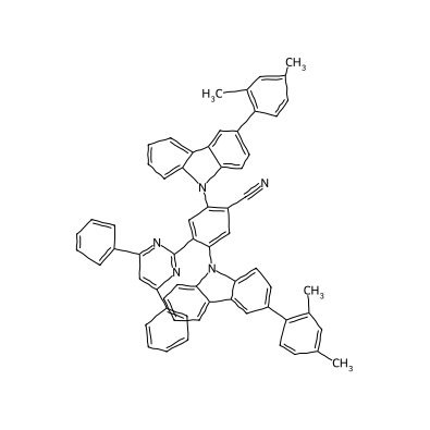 Cc1ccc(-c2ccc3c(c2)c2ccccc2n3-c2cc(-c3nc(-c4ccccc4)cc(-c4ccccc4)n3)c(-n3c4ccccc4c4cc(-c5ccc(C)cc5C)ccc43)cc2C#N)c(C)c1